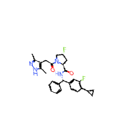 Cc1n[nH]c(C)c1CC(=O)N1C[C@H](F)C[C@H]1C(=O)N[C@@H](c1ccccc1)c1ccc(C2CC2)c(F)c1